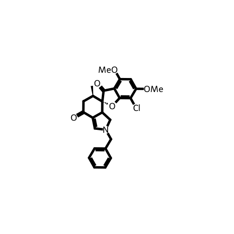 COc1cc(OC)c2c(c1Cl)O[C@]1(C2=O)C2CN(Cc3ccccc3)C=C2C(=O)C[C@H]1C